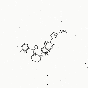 Cc1cccc(C(=O)N2CCCC[C@H]2c2cc3nc(C4CC[C@H](N)C4)c(C)cn3n2)n1